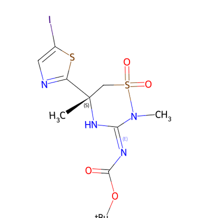 CN1/C(=N/C(=O)OC(C)(C)C)N[C@](C)(c2ncc(I)s2)CS1(=O)=O